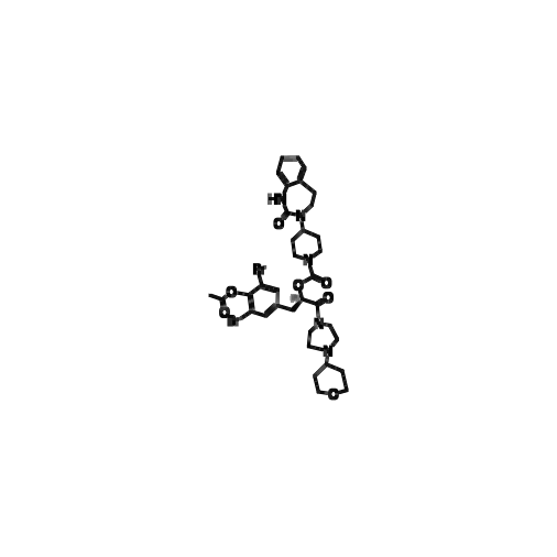 CC(=O)Oc1c(Br)cc(C[C@@H](OC(=O)N2CCC(N3CCc4ccccc4NC3=O)CC2)C(=O)N2CCN(C3CCOCC3)CC2)cc1Br